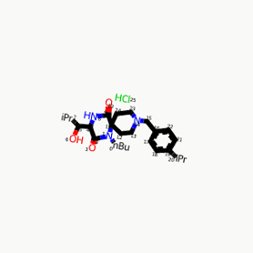 CCCCN1C(=O)C(C(O)C(C)C)NC(=O)C12CCN(Cc1ccc(C(C)C)cc1)CC2.Cl